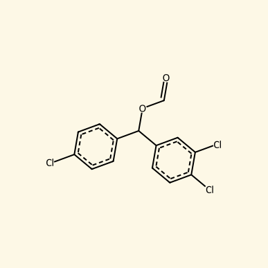 O=COC(c1ccc(Cl)cc1)c1ccc(Cl)c(Cl)c1